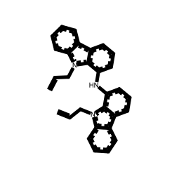 C=CCn1c2ccccc2c2cccc(Nc3cccc4c5ccccc5n(CC=C)c34)c21